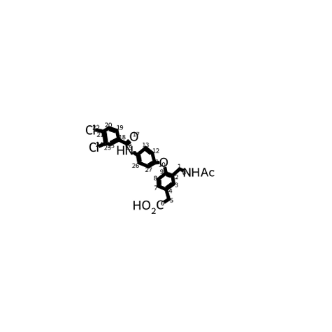 CC(=O)NCc1cc(CC(=O)O)ccc1Oc1ccc(NC(=O)c2ccc(Cl)c(Cl)c2)cc1